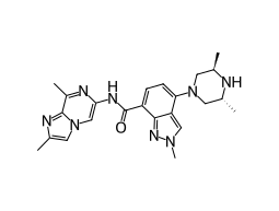 Cc1cn2cc(NC(=O)c3ccc(N4C[C@@H](C)N[C@H](C)C4)c4cn(C)nc34)nc(C)c2n1